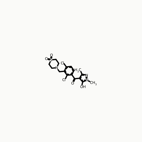 Cc1nn(C)c(O)c1C(=O)c1ccc(Cl)c(CN2CCS(=O)(=O)CC2)c1Cl